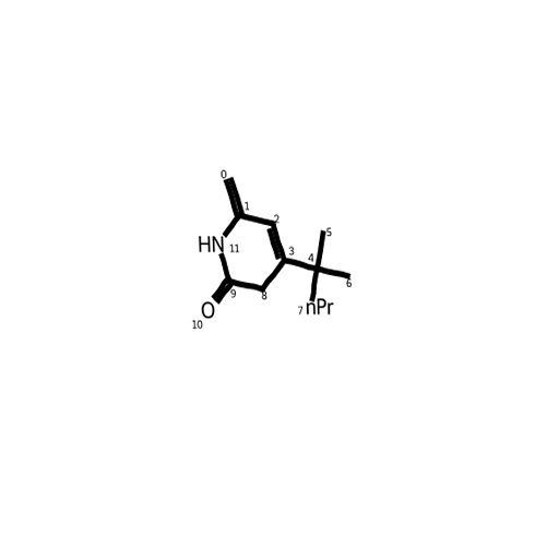 C=C1C=C(C(C)(C)CCC)CC(=O)N1